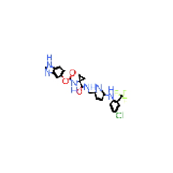 O=C(NC1(C(=O)NCc2ccc(Nc3ccc(Cl)cc3C(F)(F)F)cn2)CC1)Oc1ccc2[nH]cnc2c1